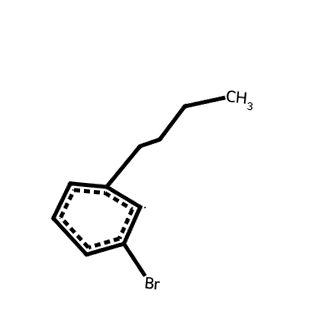 CCCCc1[c]c(Br)ccc1